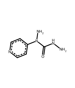 NNC(=O)N(N)c1ccncc1